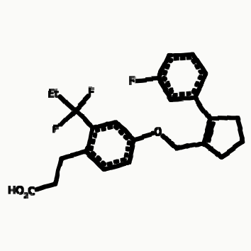 CCC(F)(F)c1cc(OCC2=C(c3cccc(F)c3)CCC2)ccc1CCC(=O)O